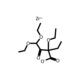 CCOC(OCC)C(=O)C(CC)(OCC)C(=O)[O-].[Zr+]